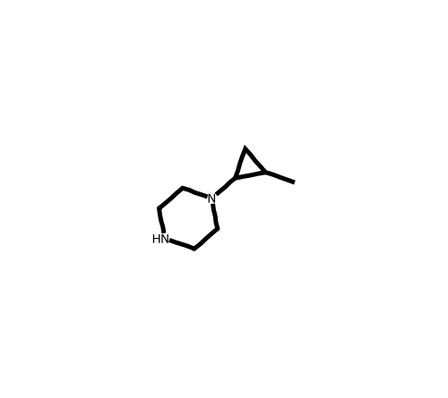 CC1CC1N1CCNCC1